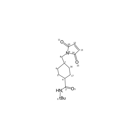 CC(C)(C)NC(=O)C1CCC(CN2C(=O)C=CC2=O)CC1